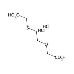 Cl.Cl.O=C(O)COCCSCC(=O)O